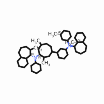 CC1CCC(C2CCCC(N(C3CCC[C@@H](C)C3)C3CCCCC4CCCC[C@@]43C)C2)CC(C)[C@@H](N(C2CCCCC2)[C@H]2C(C)CCCC3CCCCC32)C1